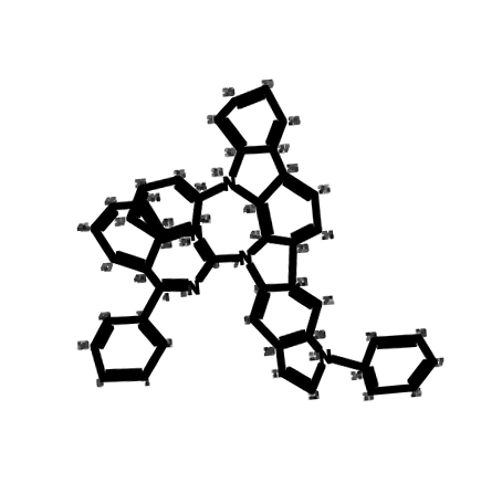 c1ccc(-c2nc(-n3c4cc5ccn(-c6ccccc6)c5cc4c4ccc5c6ccccc6n(-c6ccccc6)c5c43)nc3ccccc23)cc1